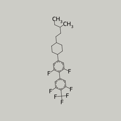 CCC(C)CCC1CCC(c2cc(F)c(-c3cc(F)c(C(F)(F)F)c(F)c3)c(F)c2)CC1